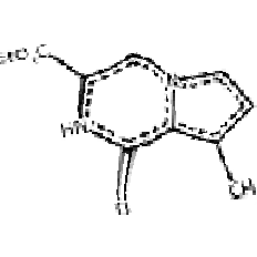 CCOC(=O)c1cn2ccc(C)c2c(=O)[nH]1